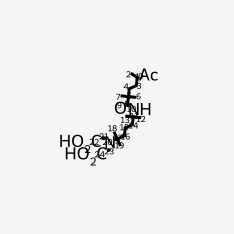 CC(=O)C(C)CCC(C)(C)C(=O)NC(C)(C)CCCC(C)(C)N(CC(=O)O)CC(=O)O